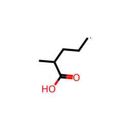 [CH2]CCC(C)C(=O)O